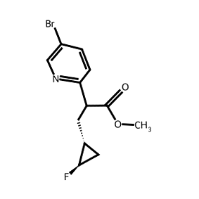 COC(=O)C(C[C@@H]1C[C@H]1F)c1ccc(Br)cn1